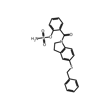 NS(=O)(=O)Oc1ccccc1C(=O)N1CCc2cc(SCc3ccccc3)ccc21